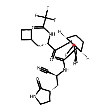 N#C[C@H](C[C@@H]1CCNC1=O)NC(=O)[C@H]1[C@@H]2CC[C@@H](CC2(F)F)N1C(=O)[C@H](CC1CCC1)NC(=O)C(F)(F)F